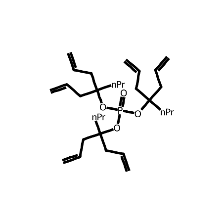 C=CCC(CC=C)(CCC)OP(=O)(OC(CC=C)(CC=C)CCC)OC(CC=C)(CC=C)CCC